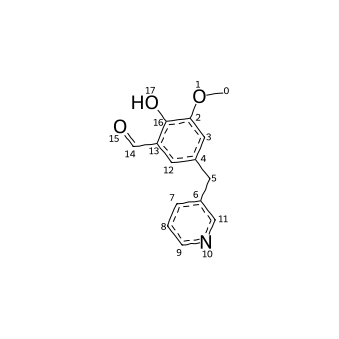 COc1cc(Cc2cccnc2)cc(C=O)c1O